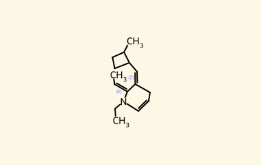 C/C=C1\C(=C/C2CCC2C)CC=CN1CC